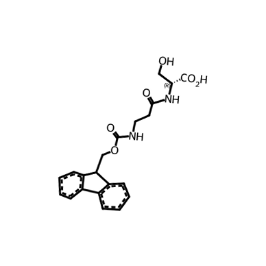 O=C(CCNC(=O)OCC1c2ccccc2-c2ccccc21)N[C@H](CO)C(=O)O